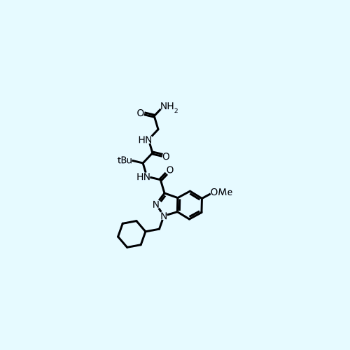 COc1ccc2c(c1)c(C(=O)NC(C(=O)NCC(N)=O)C(C)(C)C)nn2CC1CCCCC1